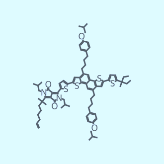 C=CCCCCC(C)(C)C1=C2C(=O)N(CC(C)C)C(c3ccc(-c4cc5c(CCCCc6ccc(OCC(C)C)cc6)cc6c(cc(CCCCc7ccc(OCC(C)C)cc7)c7cc(-c8ccc(C(C)(CC)CC)s8)sc76)c5s4)s3)=C2C(=O)N1CC(C)C